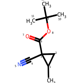 CC1CC1(C#N)C(=O)OC(C)(C)C